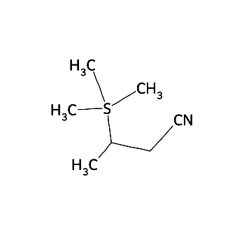 CC(CC#N)S(C)(C)C